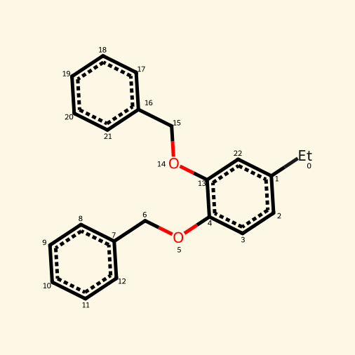 CCc1ccc(OCc2ccccc2)c(OCc2ccccc2)c1